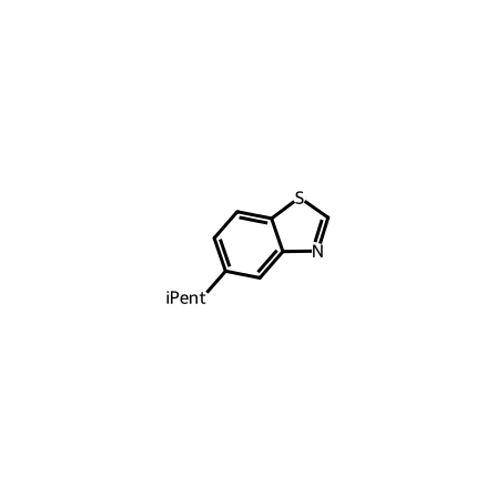 CCCC(C)c1ccc2scnc2c1